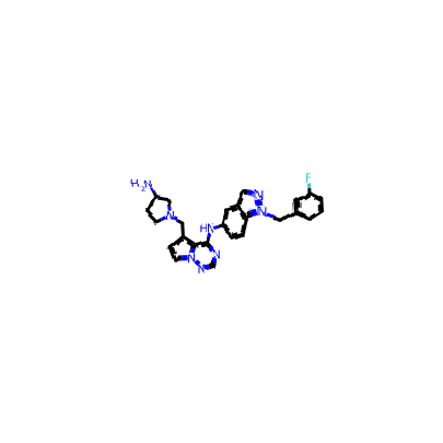 NC1CCN(Cc2ccn3ncnc(Nc4ccc5c(cnn5Cc5cccc(F)c5)c4)c23)C1